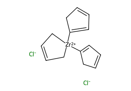 C1=CC[C]([Zr+2]2([C]3=CC=CC3)[CH2]C=C[CH2]2)=C1.[Cl-].[Cl-]